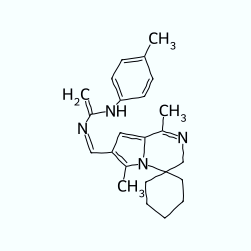 C=C(/N=C\c1cc2n(c1C)C1(CCCCC1)CN=C2C)Nc1ccc(C)cc1